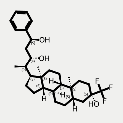 C[C@@H]([C@@H](O)C[C@H](O)c1ccccc1)[C@@H]1CC[C@H]2[C@@H]3CC[C@H]4C[C@](O)(C(F)(F)F)CC[C@]4(C)[C@H]3CC[C@]12C